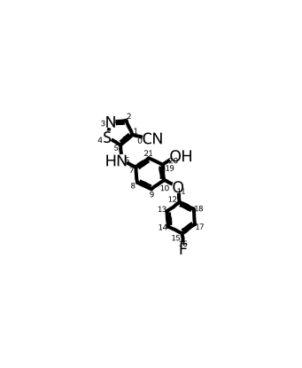 N#Cc1cnsc1Nc1ccc(Oc2ccc(F)cc2)c(O)c1